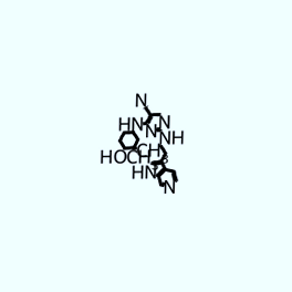 CC1(C)C[C@H](Nc2nc(NCCc3c[nH]c4cnccc34)ncc2C#N)CC[C@@H]1O